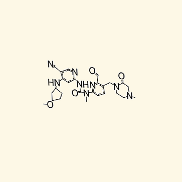 COC1CCC(Nc2cc(NC(=O)N(C)c3ccc(CN4CCN(C)CC4=O)c(C=O)n3)ncc2C#N)C1